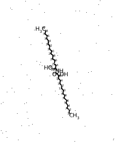 CCCCCCCCCCCCCCCCC(O)C(=O)N[C@@H](CO)CCCCCCCCCCCCCCCC